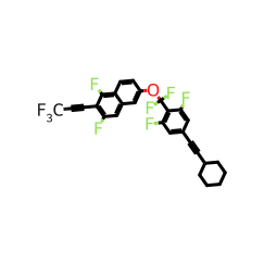 Fc1cc2cc(OC(F)(F)c3c(F)cc(C#CC4CCCCC4)cc3F)ccc2c(F)c1C#CC(F)(F)F